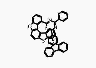 c1ccc(-c2nc(-c3ccccc3)nc(-c3cccc4oc5ccc6sc7c(-n8c9ccccc9c9ccccc98)cccc7c6c5c34)n2)cc1